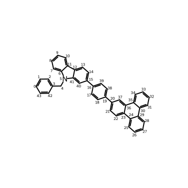 c1ccc(Cn2c3ccccc3c3ccc(-c4ccc(-c5ccc6c7ccccc7c7ccccc7c6c5)cc4)cc32)cc1